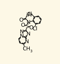 Cc1ccn2nc(S(=O)(=O)N(C(=O)C(C)C)c3c(Cl)cccc3Cl)nc2n1